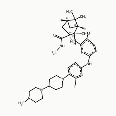 CNC(=O)[C@H]1C[C@H]2C[C@H](C2(C)C)[C@@]1(C)Nc1nc(Nc2ccc(N3CCC(N4CCN(C)CC4)CC3)c(F)c2)ncc1Cl